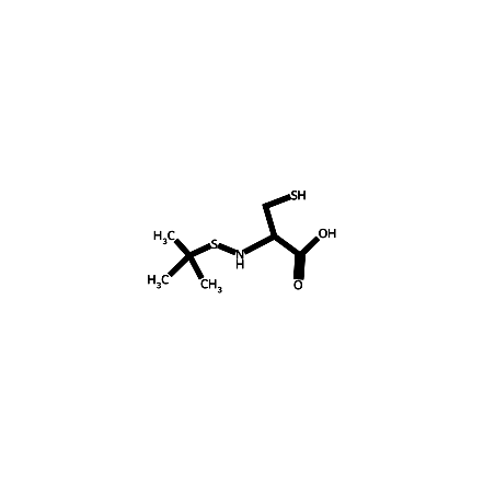 CC(C)(C)SNC(CS)C(=O)O